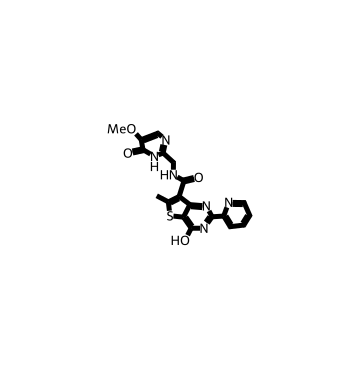 COc1cnc(CNC(=O)c2c(C)sc3c(O)nc(-c4ccccn4)nc23)[nH]c1=O